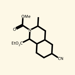 CCOC(=O)C1C2CCC(C#N)CC2CC(C)N1C(=O)OC